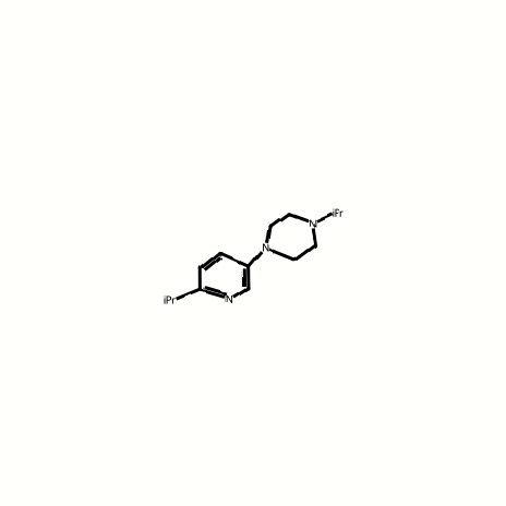 CC(C)c1ccc(N2CCN(C(C)C)CC2)cn1